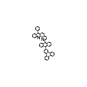 c1ccc(-c2c3ccccc3nc3c2ccc2ccc(-c4c5ccccc5c(-c5ccc6c7ccccc7c7ccccc7c6c5)c5ccccc45)nc23)cc1